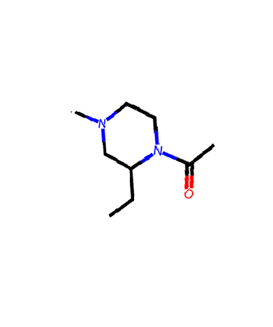 [CH2]N1CCN(C(C)=O)C(CC)C1